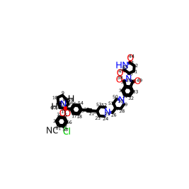 N#Cc1ccc(OC2C[C@H]3CC[C@@H](C2)N3C(=O)c2ccc(C#CC3CCN(CC4CCN(c5ccc6c(c5)C(=O)N(C5CCC(=O)NC5=O)C6=O)CC4)CC3)cc2)cc1Cl